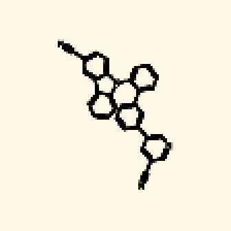 N#Cc1cncc(-c2cccc(-c3ccccc3-n3c4ccccc4c4cc(C#N)ccc43)c2)c1